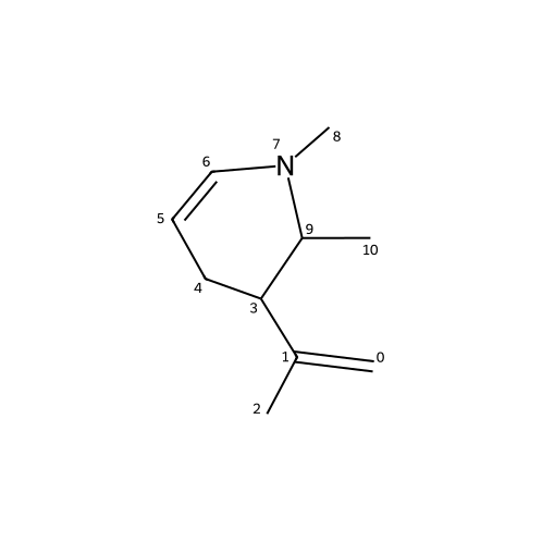 C=C(C)C1CC=CN(C)C1C